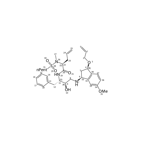 C=CCO[C@@H]1C[C@H](NC[C@@H](O)[C@H](Cc2ccccc2)NC(=O)[C@H](CC=C)N(C)S(=O)(=O)CCCCC)c2cc(OC)ccc21